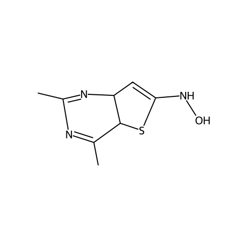 CC1=NC2C=C(NO)SC2C(C)=N1